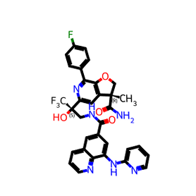 C[C@]1(C(N)=O)COc2c1cc([C@@](O)(CNC(=O)c1cc(Nc3ccccn3)c3ncccc3c1)C(F)(F)F)nc2-c1ccc(F)cc1